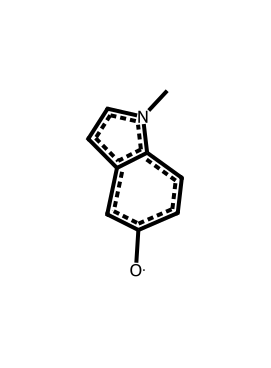 Cn1ccc2cc([O])ccc21